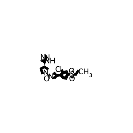 CCCS(=O)(=O)c1ccc(C2CN(C(=O)N3CC[C@H](c4cnn[nH]4)C3)C2)c(Cl)c1